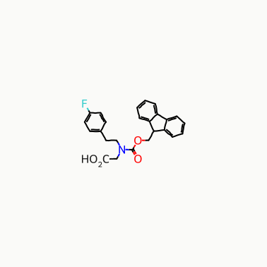 O=C(O)CN(CCc1ccc(F)cc1)C(=O)OCC1c2ccccc2-c2ccccc21